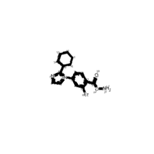 CCc1cc(-n2ccnc2C2CCCCC2)ccc1C(=O)ON